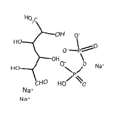 O=CC(O)C(O)C(O)C(O)C(=O)O.O=P([O-])([O-])OP(=O)([O-])O.[Na+].[Na+].[Na+]